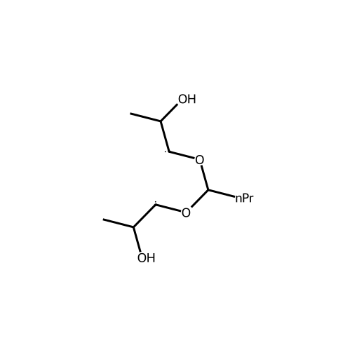 CCCC(O[CH]C(C)O)O[CH]C(C)O